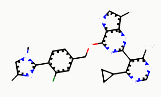 COc1ncnc(C2CC2)c1-c1nc(OCc2ccc(-c3nc(C(F)(F)F)cn3C)c(F)c2)c2[nH]cc(C)c2n1